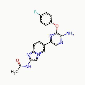 CC(=O)Nc1cn2cc(-c3cnc(N)c(Oc4ccc(F)cc4)n3)ccc2n1